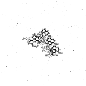 CC(C)(C(=O)O)C1=Cc2c(C(C)(C)C)ccc3cccc(c23)C1C(C)(C)C(=O)O.CC(C)(CC1=Cc2c(C(C)(C)C)ccc3cccc(c23)C1CC(C)(C)C(=O)O)C(=O)O.CC(C)C(C(=O)O)C1=Cc2c(C(C)(C)C)ccc3cccc(c23)C1C(C(=O)O)C(C)C.CCCCC(CC)(C(=O)O)C1=Cc2c(C(C)(C)C)ccc3cccc(c23)C1C(CC)(CCCC)C(=O)O